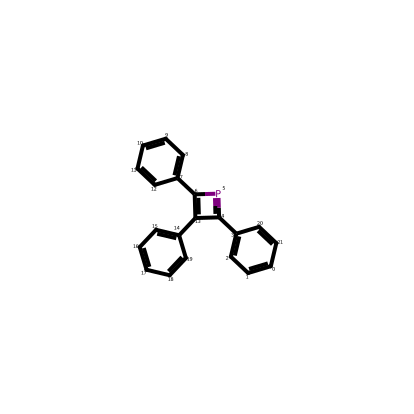 c1ccc(C2=PC(c3ccccc3)=C2c2ccccc2)cc1